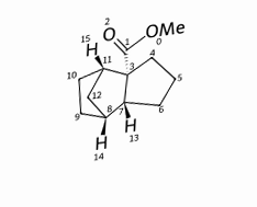 COC(=O)[C@]12CCC[C@@H]1[C@@H]1CC[C@H]2C1